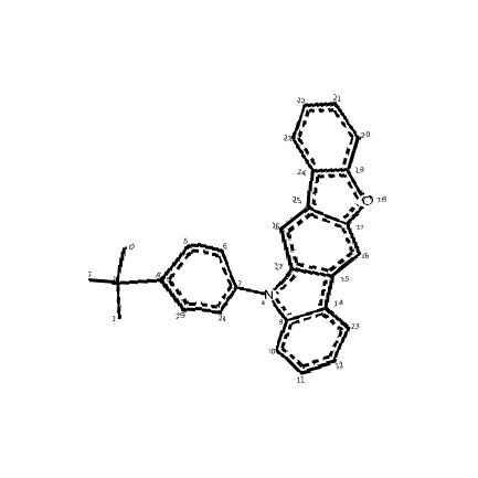 CC(C)(C)c1ccc(-n2c3ccccc3c3cc4oc5ccccc5c4cc32)cc1